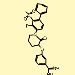 CS(=O)(=O)c1c(-c2ccccc2)ccc(N2CCCC(Oc3cccc(C(=N)N)c3)C2=O)c1F